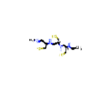 CCN[C@@H](CS)CN[C@@H](CS)CN[C@@H](CS)CNC